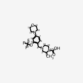 CC1CN(Cc2ccc(N3CCOCC3)cc2OC(F)(F)F)CCN1C(=O)O